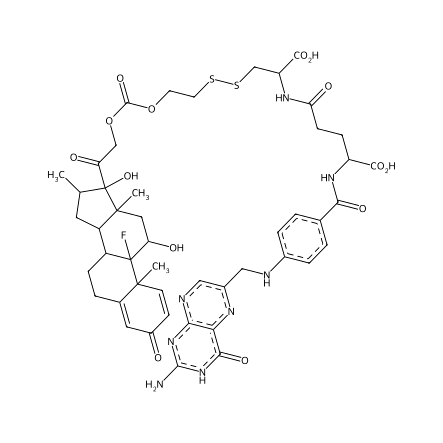 CC1CC2C3CCC4=CC(=O)C=CC4(C)C3(F)C(O)CC2(C)C1(O)C(=O)COC(=O)OCCSSCC(NC(=O)CCC(NC(=O)c1ccc(NCc2cnc3nc(N)[nH]c(=O)c3n2)cc1)C(=O)O)C(=O)O